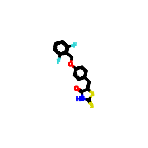 O=C1NC(=S)SC1=Cc1ccc(OCc2c(F)cccc2F)cc1